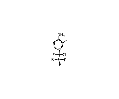 Cc1cc(C(F)(Cl)C(F)(F)Br)ccc1N